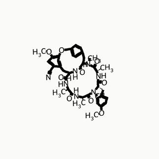 COc1ccc(C[C@H]2C(=O)N[C@@H](C)C(=O)N(C)[C@H]3Cc4ccc(cc4)Oc4cc(c(C#N)cc4OC)C[C@H](NC3=O)C(=O)N[C@H](C)C(=O)N[C@@H](C)C(=O)N2C)cc1